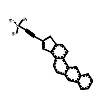 CC(C)[Si](C#CC1=Cc2c(ccc3c2ccc2cc4ccccc4cc23)C1)(C(C)C)C(C)C